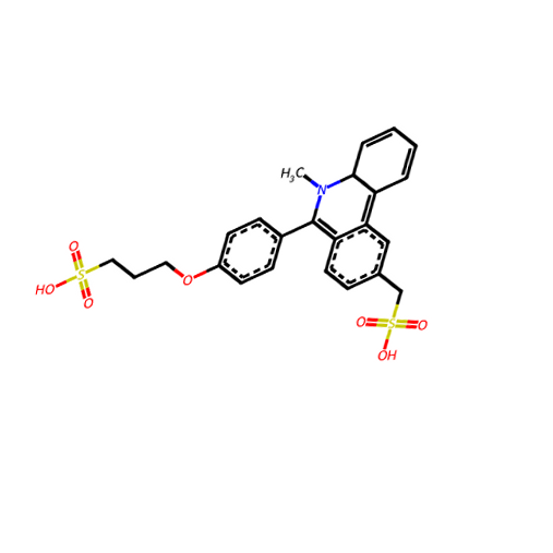 CN1C(c2ccc(OCCCS(=O)(=O)O)cc2)=c2ccc(CS(=O)(=O)O)cc2=C2C=CC=CC21